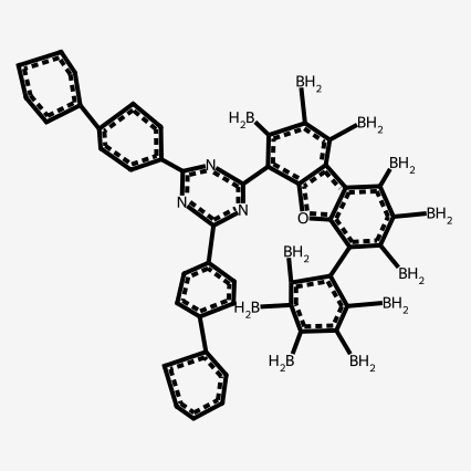 Bc1c(B)c(B)c(-c2c(B)c(B)c(B)c3c2oc2c(-c4nc(-c5ccc(-c6ccccc6)cc5)nc(-c5ccc(-c6ccccc6)cc5)n4)c(B)c(B)c(B)c23)c(B)c1B